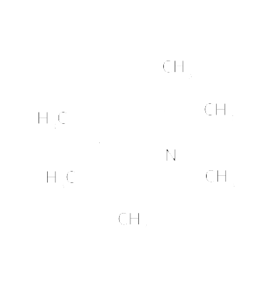 CC1N(C)C(C)(C)CC1(C)C